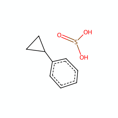 O=S(O)O.c1ccc(C2CC2)cc1